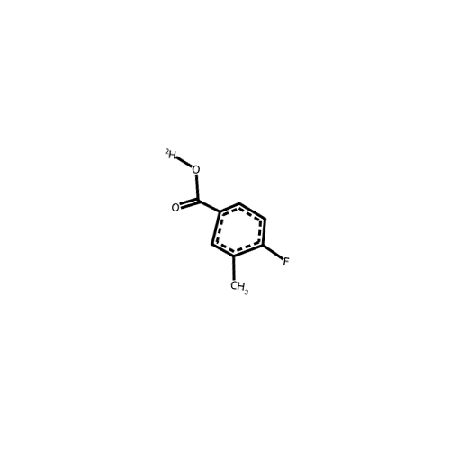 [2H]OC(=O)c1ccc(F)c(C)c1